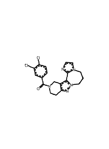 O=C(c1ccc(Cl)c(Cl)c1)N1CCc2nn3c(c2C1)-c1nccn1CCC3